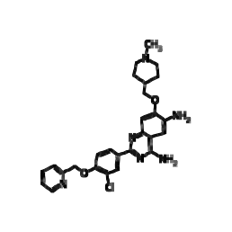 CN1CCC(COc2cc3nc(-c4ccc(OCc5ccccn5)c(Cl)c4)nc(N)c3cc2N)CC1